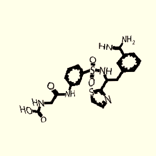 N=C(N)c1cccc(CC(NS(=O)(=O)c2cccc(NC(=O)CNC(=O)O)c2)c2nccs2)c1